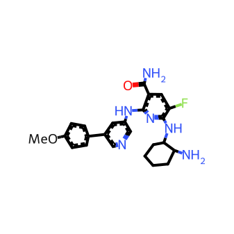 COc1ccc(-c2cncc(Nc3nc(NC4CCCCC4N)c(F)cc3C(N)=O)c2)cc1